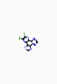 Fc1nc2c3nccnc3c3nccnc3c2nc1F